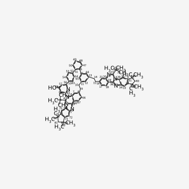 CC(C)(C)c1nc2cc(CCc3cc(CCc4ccc5c(c4)nc(C(C)(C)C)n4c6cc7c(cc6nc54)C(C)(C)CC7(C)C)cc(-c4ccccc4-c4ccc(-c5cc(O)ccn5)cc4)c3)ccc2c2nc3cc4c(cc3n12)C(C)(C)CC4(C)C